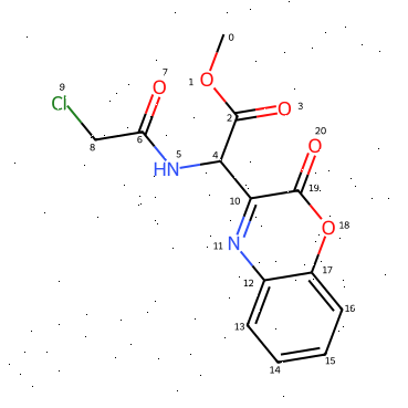 COC(=O)C(NC(=O)CCl)c1nc2ccccc2oc1=O